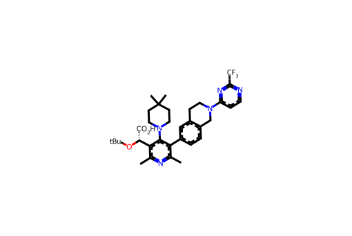 Cc1nc(C)c([C@H](OC(C)(C)C)C(=O)O)c(N2CCC(C)(C)CC2)c1-c1ccc2c(c1)CCN(c1ccnc(C(F)(F)F)n1)C2